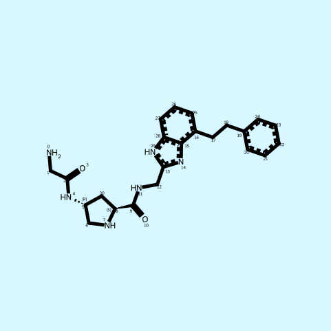 NCC(=O)N[C@H]1CN[C@H](C(=O)NCc2nc3c(CCc4ccccc4)cccc3[nH]2)C1